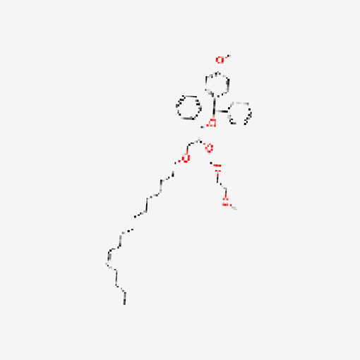 CCCC/C=C\CCCCCCCCCCOCC(COC(c1ccccc1)(c1ccccc1)c1ccc(OC)cc1)OCOCCOC